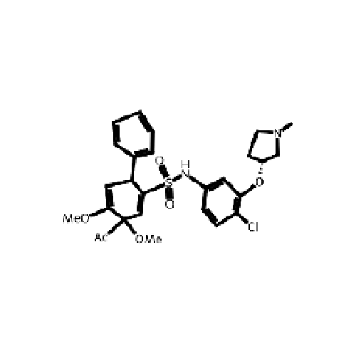 COC1=CC(c2ccccc2)C(S(=O)(=O)Nc2ccc(Cl)c(O[C@@H]3CCN(C)C3)c2)=CC1(OC)C(C)=O